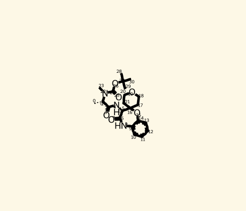 C[C@@H](C(=O)N[C@@H]1C(=O)Nc2ccccc2OC12CCOCC2)N(C)C(=O)OC(C)(C)C